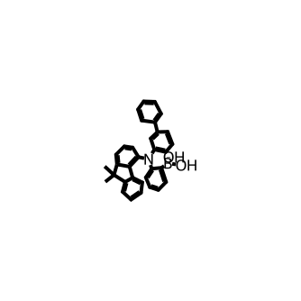 CC1(C)c2ccccc2-c2c(N(c3cccc(-c4ccccc4)c3)c3ccccc3B(O)O)cccc21